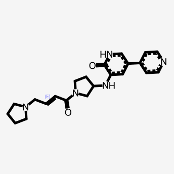 O=C(/C=C/CN1CCCC1)N1CCC(Nc2cc(-c3ccncc3)c[nH]c2=O)C1